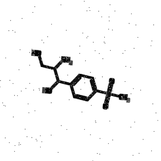 CS(=O)(=O)c1ccc(C(O)C(N)CO)cc1